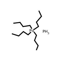 CCC[CH2][Pd]([CH2]CCC)([CH2]CCC)[CH2]CCC.P